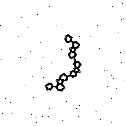 c1cc(-c2ccnc3c2oc2ccc(-c4ccc5oc6ccc(-c7ccc8oc9c(-c%10ccncc%10)ccnc9c8c7)cc6c5c4)cc23)ccn1